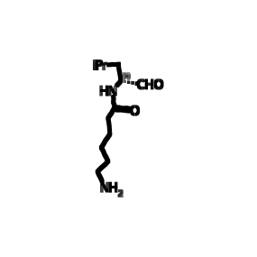 CC(C)C[C@H](C=O)NC(=O)CCCCCN